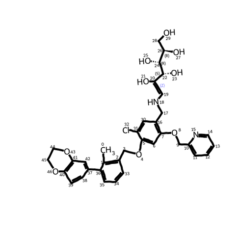 Cc1c(COc2cc(OCc3ccccn3)c(CN/C=C(\O)[C@@H](O)[C@H](O)[C@H](O)CO)cc2Cl)cccc1-c1ccc2c(c1)OCCO2